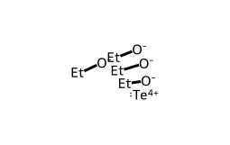 CC[O-].CC[O-].CC[O-].CC[O-].[Te+4]